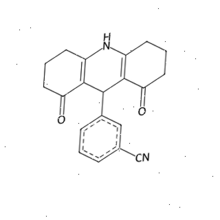 N#Cc1cccc(C2C3=C(CCCC3=O)NC3=C2C(=O)CCC3)c1